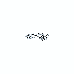 COC1(OC)CC(CCCCN2CCN(c3ccc(F)cc3)CC2)S(=O)(=O)c2ccccc21